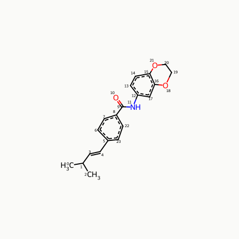 CC(C)C=Cc1ccc(C(=O)Nc2ccc3c(c2)OCCO3)cc1